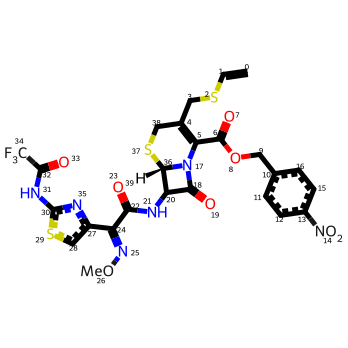 C=CSCC1=C(C(=O)OCc2ccc([N+](=O)[O-])cc2)N2C(=O)C(NC(=O)C(=NOC)c3csc(NC(=O)C(F)(F)F)n3)[C@@H]2SC1